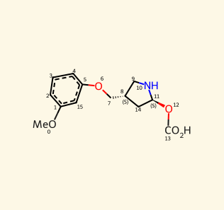 COc1cccc(OC[C@@H]2CN[C@@H](OC(=O)O)C2)c1